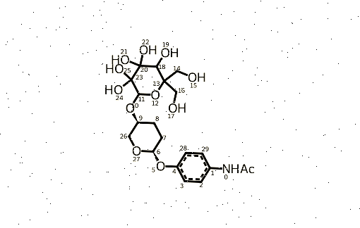 CC(=O)Nc1ccc(O[C@@H]2CC[C@H](OC3OC(CO)(CO)C(O)C(O)(O)C3(O)O)CO2)cc1